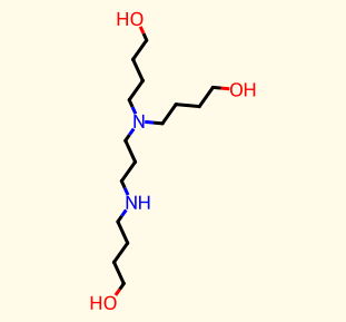 OCCCCNCCCN(CCCCO)CCCCO